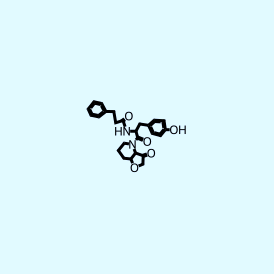 O=C(CCc1ccccc1)NC(Cc1ccc(O)cc1)C(=O)N1CCCC2OCC(=O)C21